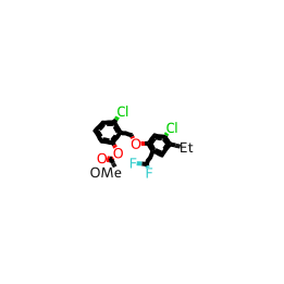 CCc1cc(C(F)F)c(OCc2c(Cl)cccc2OC(=O)OC)cc1Cl